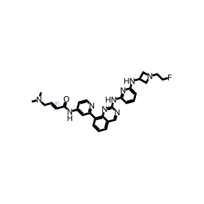 CN(C)C/C=C/C(=O)Nc1ccnc(-c2cccc3cnc(Nc4cccc(NC5CN(CCF)C5)n4)nc23)c1